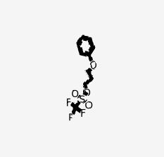 O=S(=O)(OCCCOc1ccccc1)C(F)(F)F